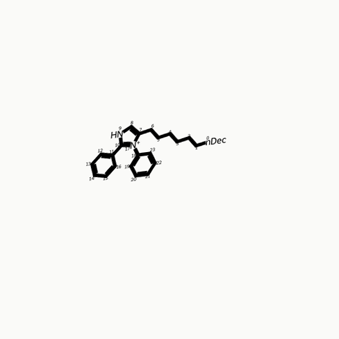 CCCCCCCCCCCCCCCCc1c[nH]c(-c2ccccc2)[n+]1-c1ccccc1